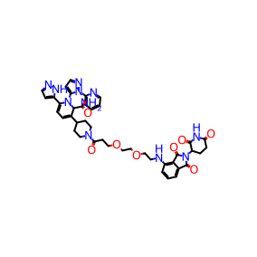 NC(=O)C1C(C2CCN(C(=O)CCOCCOCCNc3cccc4c3C(=O)N(C3CCC(=O)NC3=O)C4=O)CC2)=CC=C(c2ccn[nH]2)N1c1ccnn1-c1ccccn1